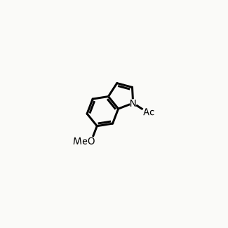 COc1ccc2ccn(C(C)=O)c2c1